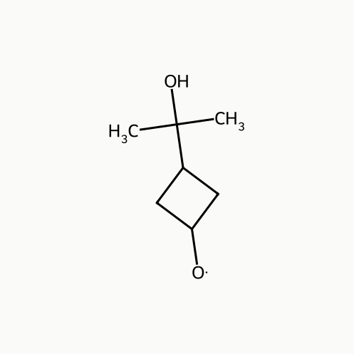 CC(C)(O)C1CC([O])C1